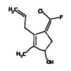 C=CCC1=C(C)C(O)CC1=C(F)Cl